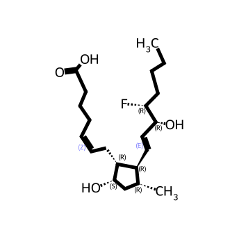 CCCC[C@@H](F)[C@H](O)/C=C/[C@@H]1[C@@H](C/C=C\CCCC(=O)O)[C@@H](O)C[C@H]1C